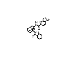 O=C(NC12CC3CC(C1)CC(NC(=O)c1ccc4c(n1)CCN4)(C3)C2)c1ccccn1